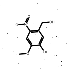 COc1cc([N+](=O)[O-])c(CO)cc1O